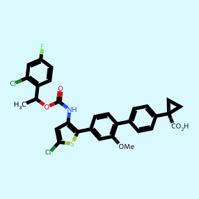 COc1cc(-c2sc(Cl)cc2NC(=O)OC(C)c2ccc(F)cc2Cl)ccc1-c1ccc(C2(C(=O)O)CC2)cc1